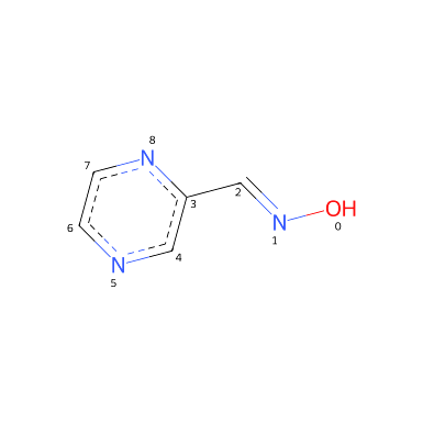 O/N=C/c1cnccn1